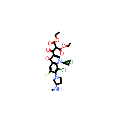 CCOC(=O)C(C(=O)OCC)C(=O)c1cn(C2CC2)c2c(Cl)c(N3CC[C@@H](NC)C3)c(F)cc2c1=O.Cl